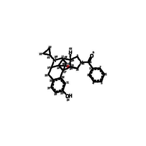 O=C(c1ccccc1)N1C[C@H]2CC34CCC1C2C31CCN(C2CC2)C4Cc2ccc(O)cc21